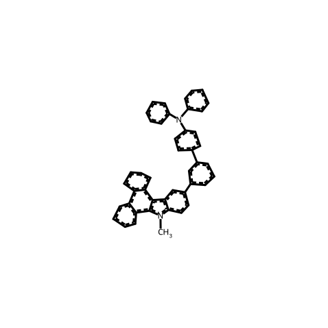 Cn1c2ccc(-c3cccc(-c4ccc(N(c5ccccc5)c5ccccc5)cc4)c3)cc2c2c3ccccc3c3ccccc3c21